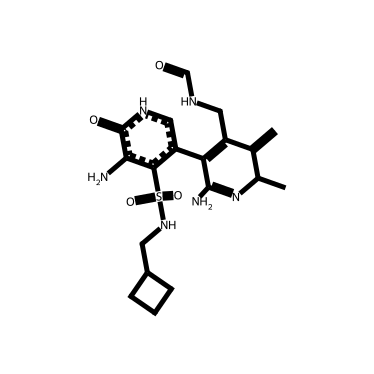 C=C1C(CNC=O)=C(c2c[nH]c(=O)c(N)c2S(=O)(=O)NCC2CCC2)C(N)=NC1C